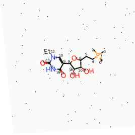 C=P(C)(C)CCC1OC(c2cn(CC)c(=O)[nH]c2=O)[C@H](O)[C@@H]1O